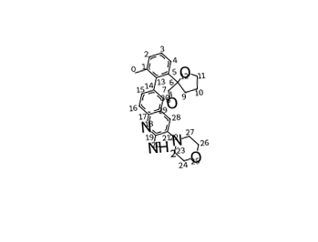 Cc1cccc(C2(C=O)CCCO2)c1-c1ccc2nc(N)c(N3CCOCC3)cc2c1